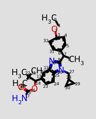 CCOc1ccc(C(C)c2nc3cc(C(OC(N)=O)C(C)(C)C)ccc3n2CC2CC2)cc1